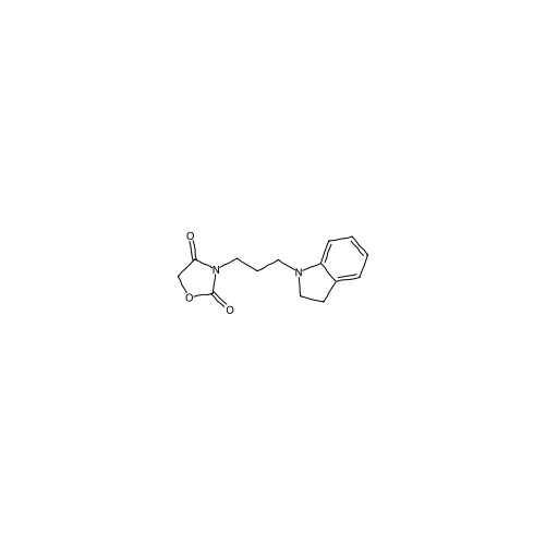 O=C1COC(=O)N1CCCN1CCc2ccccc21